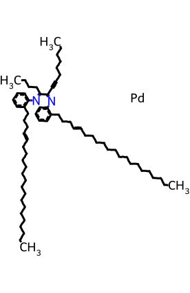 CCCCCCC#CC(=Nc1ccccc1CCCC=CCCCCCCCCCCCCCCCC)C(CCCC)=Nc1ccccc1CCCC=CCCCCCCCCCCCCCCCC.[Pd]